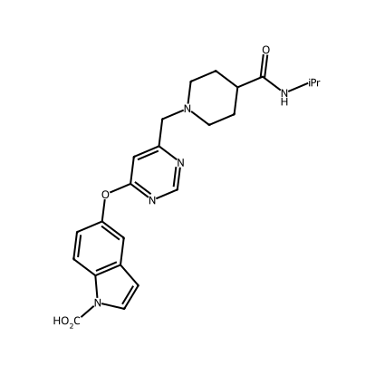 CC(C)NC(=O)C1CCN(Cc2cc(Oc3ccc4c(ccn4C(=O)O)c3)ncn2)CC1